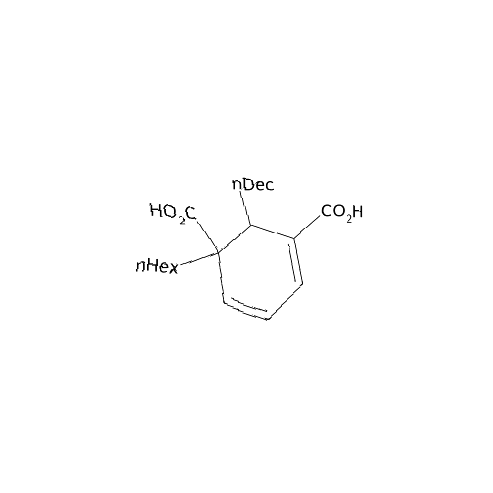 CCCCCCCCCCC1C(C(=O)O)=CC=CC1(CCCCCC)C(=O)O